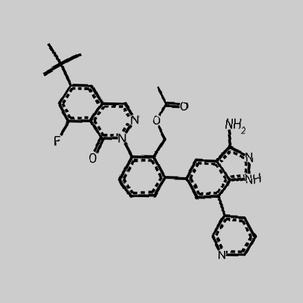 CC(=O)OCc1c(-c2cc(-c3cccnc3)c3[nH]nc(N)c3c2)cccc1-n1ncc2cc(C(C)(C)C)cc(F)c2c1=O